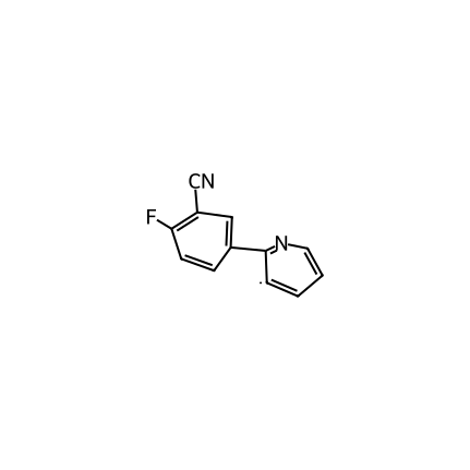 N#Cc1cc(-c2[c]cccn2)ccc1F